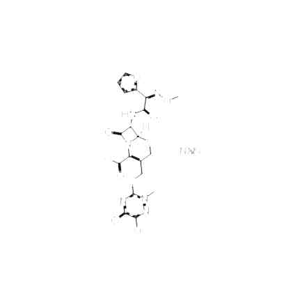 CO/N=C(\C(=O)N[C@@H]1C(=O)N2C(C(=O)[O-])=C(CSc3nc(=O)c([O-])nn3C)CS[C@@H]12)c1ccco1.[Na+].[Na+]